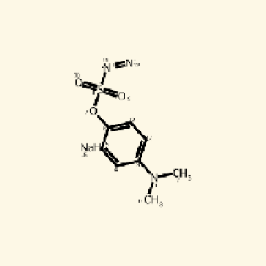 CN(C)c1ccc(OS(=O)(=O)[N+]=[N-])cc1.[NaH]